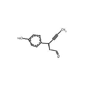 CC#CC(CC=O)c1ccc(O)cc1